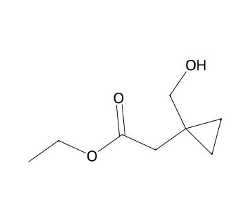 CCOC(=O)CC1(CO)CC1